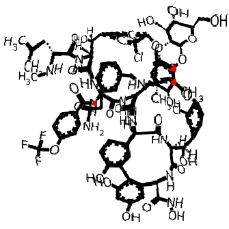 CN[C@H](CC(C)C)C(=O)N[C@H]1C(=O)N[C@@H](CC(N)=O)C(=O)N[C@H]2C(=O)N[C@H]3C(=O)N[C@H](C(=O)N[C@@H](C(=O)NO)c4cc(O)cc(O)c4-c4cc3ccc4O)[C@H](O)c3ccc(c(Cl)c3)Oc3cc2cc(c3O[C@@H]2O[C@H](CO)[C@@H](O)[C@H](O)[C@H]2O[C@H]2C[C@](C)(NCc3cccc(NC(=O)c4ccc(OC(F)(F)F)cc4)c3)[C@H](O)[C@H](C)O2)Oc2ccc(cc2Cl)[C@H]1O